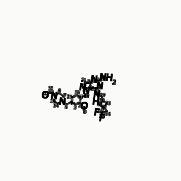 COc1cc(CN2CCN(C(C)=O)CC2)ccc1Cn1ncc2nc(N)nc(NCC3CC4(C3)CC4(F)F)c21